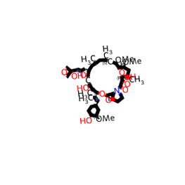 CO[C@H]1C[C@@H](C)CC(C)C[C@@H](C/C=C/C2(O)COC2)C(=O)C[C@H](O)[C@@H](C)[C@@H](/C(C)=C/[C@@H]2CC[C@@H](O)[C@H](OC)C2)OC(=O)[C@@H]2CCCCN2C(=O)C(=O)[C@]2(O)O[C@H]1[C@@H](OC)C[C@H]2C